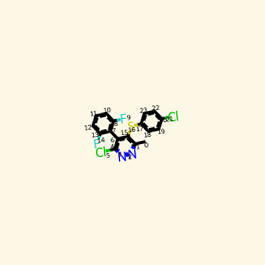 Cc1nnc(Cl)c(-c2c(F)cccc2F)c1Sc1ccc(Cl)cc1